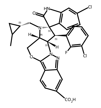 CC1C[C@@H]1CN1[C@H]2COc3c4ccc(C(=O)O)cc4nn3[C@H]2[C@H](c2cccc(Cl)c2F)[C@]12C(=O)Nc1cc(Cl)ccc12